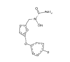 NC(=O)N(O)Cc1ccc(Oc2ccc(F)cc2)o1